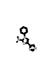 CN(C)C1OC(c2cncs2)=[C]N1c1ccccc1